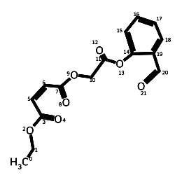 CCOC(=O)/C=C\C(=O)OCC(=O)Oc1ccccc1C=O